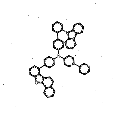 c1ccc(-c2ccc(N(c3ccc(-c4ccccc4-n4c5ccccc5c5ccccc54)cc3)c3ccc(-c4cccc5oc6c7ccccc7ccc6c45)cc3)cc2)cc1